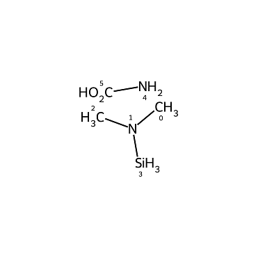 CN(C)[SiH3].NC(=O)O